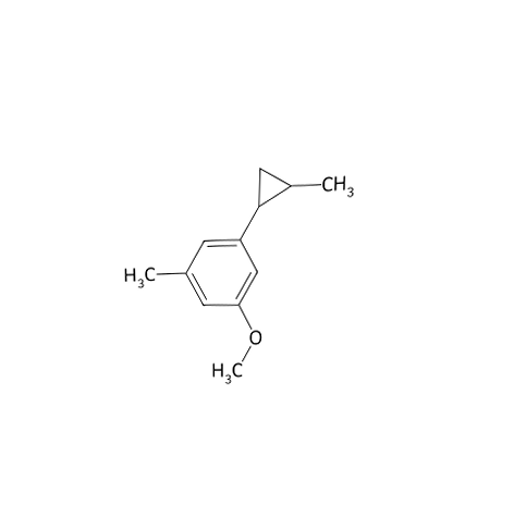 COc1cc(C)cc(C2CC2C)c1